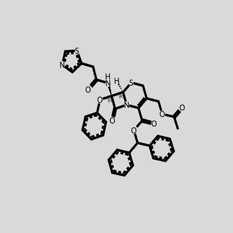 CC(=O)OCC1=C(C(=O)OC(c2ccccc2)c2ccccc2)N2C(=O)[C@](NC(=O)Cc3cncs3)(Oc3ccccc3)[C@H]2SC1